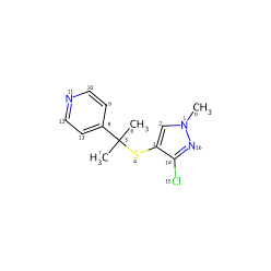 Cn1cc(SC(C)(C)c2ccncc2)c(Cl)n1